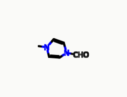 CN1C=CN(C=O)C=C1